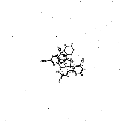 C#Cc1ccc(OC2CCOCC2)c([C@@H]2NC(=O)C=C(c3cccc(Cl)c3)[C@]23C(=O)Nc2cc(Cl)ccc23)c1